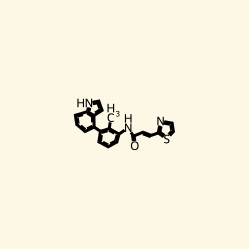 Cc1c(NC(=O)C=Cc2nccs2)cccc1-c1cccc2[nH]ccc12